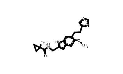 COc1cc2cc(CNC(=O)C3(C)CC3)[nH]c2cc1CCc1cscn1